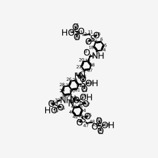 O=C(Nc1cccc(S(=O)(=O)CCOS(=O)(=O)O)c1)c1ccc(/N=N/c2cc3ccc(NCS(=O)(=O)O)c(/N=N/c4ccc(S(=O)(=O)CCOS(=O)(=O)O)cc4S(=O)(=O)O)c3cc2S(=O)(=O)O)cc1